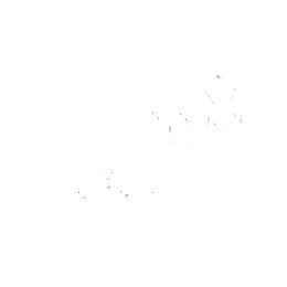 O=C(O)N[C@H]1CCN(C2CCC(Oc3cc(-n4c(C(F)F)nc5ccccc54)nc(N4CCOCC4)n3)CC2)C1=O